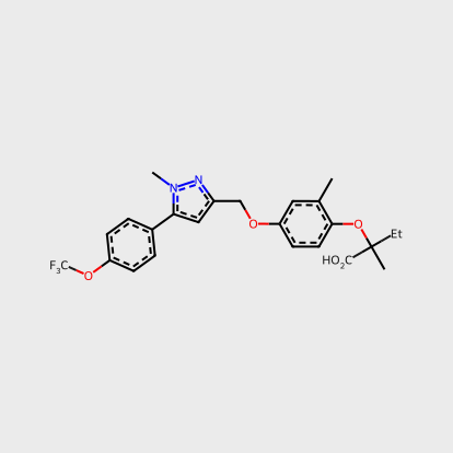 CCC(C)(Oc1ccc(OCc2cc(-c3ccc(OC(F)(F)F)cc3)n(C)n2)cc1C)C(=O)O